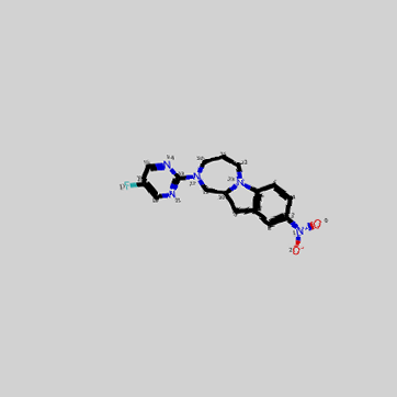 O=[N+]([O-])c1ccc2c(c1)CC1CN(c3ncc(F)cn3)CCCN21